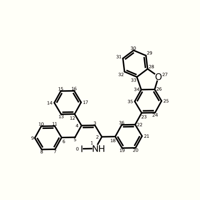 INC(C=C(Cc1ccccc1)c1ccccc1)c1cccc(-c2ccc3oc4ccccc4c3c2)c1